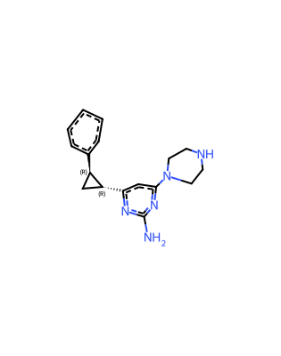 Nc1nc([C@@H]2C[C@H]2c2ccccc2)cc(N2CCNCC2)n1